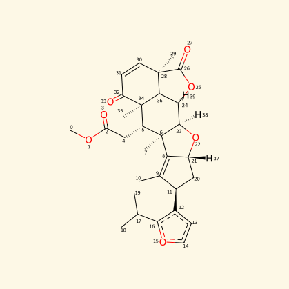 COC(=O)C[C@H]1[C@]2(C)C3=C(C)[C@H](c4ccoc4C(C)C)C[C@H]3O[C@@H]2[C@@H]2OC(=O)[C@]3(C)C=CC(=O)[C@@]1(C)C23